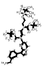 CC(C)(C)OC(=O)N(CCO[Si](C)(C)C(C)(C)C)CCN(C(=O)OC(C)(C)C)c1ccn2ncc(-c3cccc(CN)c3)c2n1